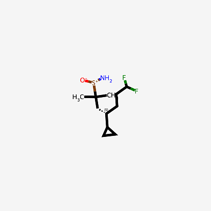 CC(C)(C[C@H](CCC(F)F)C1CC1)[S+](N)[O-]